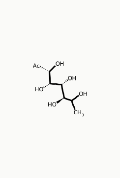 CC(=O)[C@H](O)[C@@H](O)[C@H](O)[C@H](O)C(C)O